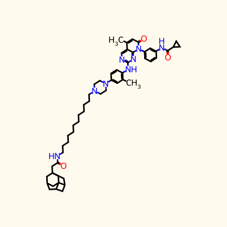 Cc1cc(N2CCN(CCCCCCCCCCCCNC(=O)CC34CC5CC6CC(C3)C6(C5)C4)CC2)ccc1Nc1ncc2c(C)cc(=O)n(-c3cccc(NC(=O)C4CC4)c3)c2n1